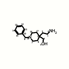 NCCC1(CO)CCN(Cc2ccccc2)CC1